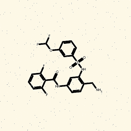 NCc1ccc(NC(=O)c2c(F)cccc2F)cc1NS(=O)(=O)c1cccc(OC(F)F)c1